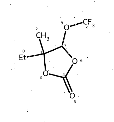 CCC1(C)OC(=O)OC1OC(F)(F)F